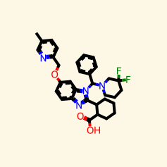 Cc1ccc(COc2ccc3nc(C4CCCCC4C(=O)O)n(C(c4ccccc4)N4CCCC(F)(F)C4)c3c2)nc1